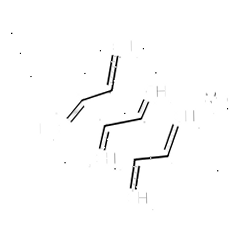 C=CC=C.C=CC=C.C=CC=C.[Mo]